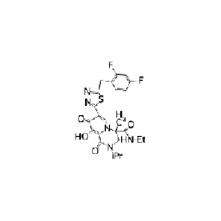 CCNC(=O)[C@]1(C)CN(C(C)C)C(=O)c2c(O)c(=O)c(-c3nnc(Cc4ccc(F)cc4F)s3)cn21